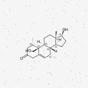 C[C@@H]1C=C2CC(=O)C[C@H](C)[C@]2(CO)[C@H]2CC[C@]3(C)[C@@H](O)CC[C@H]3[C@H]12